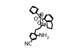 N#Cc1ccc(CCC(=O)N2CCCc3cccc(NS(=O)(=O)c4ccccc4)c32)c(N)c1